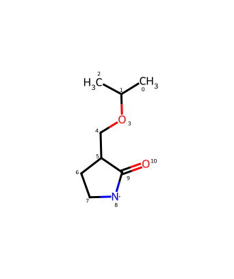 CC(C)OCC1CC[N]C1=O